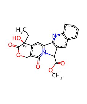 CC[C@@]1(O)C(=O)OCc2c1cc1n(c2=O)C(C(=O)OC)c2cc3ccccc3nc2-1